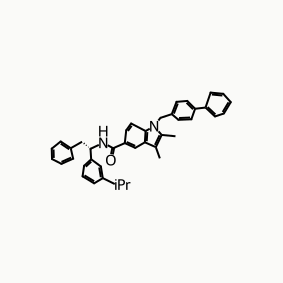 Cc1c(C)n(Cc2ccc(-c3ccccc3)cc2)c2ccc(C(=O)N[C@@H](Cc3ccccc3)c3cccc(C(C)C)c3)cc12